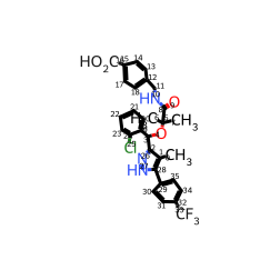 Cc1c(C(OC(C)(C)C(=O)NCc2ccc(C(=O)O)cc2)c2ccccc2Cl)n[nH]c1-c1ccc(C(F)(F)F)cc1